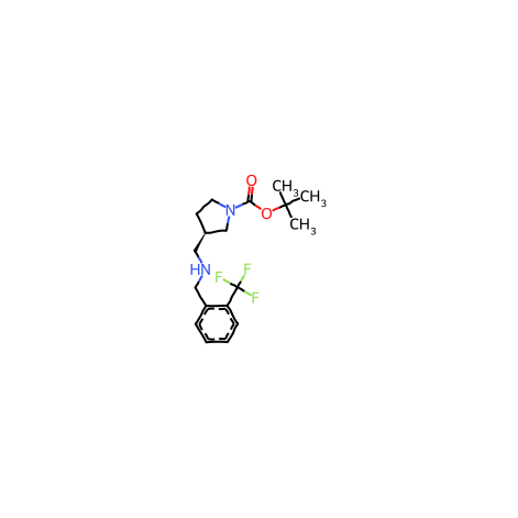 CC(C)(C)OC(=O)N1CC[C@H](CNCc2ccccc2C(F)(F)F)C1